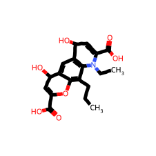 CCCc1c2c(cc3c1N(CC)C(C(=O)O)=CC3O)C(O)C=C(C(=O)O)O2